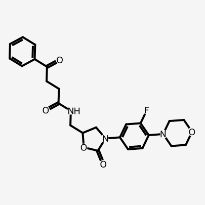 O=C(CCC(=O)c1ccccc1)NCC1CN(c2ccc(N3CCOCC3)c(F)c2)C(=O)O1